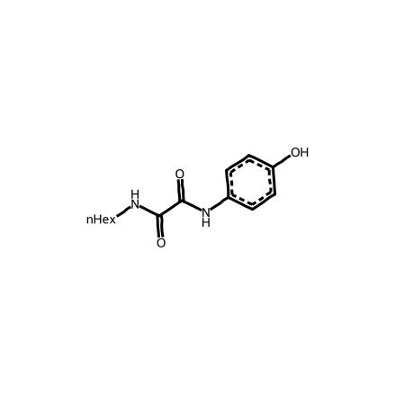 CCCCCCNC(=O)C(=O)Nc1ccc(O)cc1